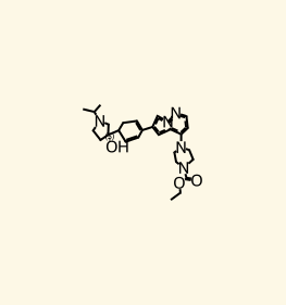 CCOC(=O)N1CCN(c2ccnn3cc(C4=CCC([C@@]5(O)CCN(C(C)C)C5)C=C4)cc23)CC1